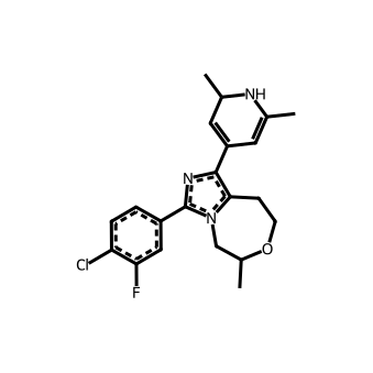 CC1=CC(c2nc(-c3ccc(Cl)c(F)c3)n3c2CCOC(C)C3)=CC(C)N1